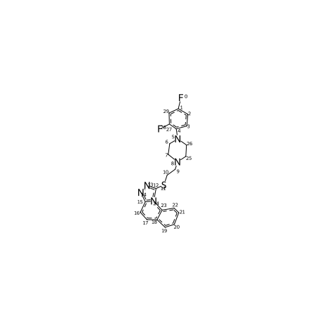 Fc1ccc(N2CCN(CCSc3nnc4ccc5ccccc5n34)CC2)c(F)c1